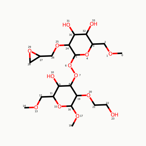 COCC1OC(OOC2C(O)C(COC)OC(OC)C2OCCO)C(OCC2CO2)C(O)C1O